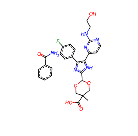 CC1(C(=O)O)COC(c2nc(-c3ccc(F)cc3)c(-c3ccnc(NCCO)n3)[nH]2)OC1.NC(=O)c1ccccc1